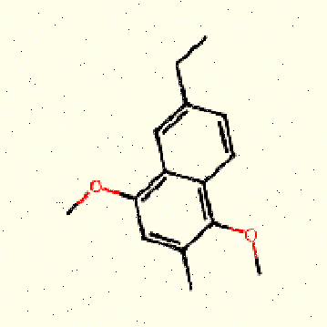 CCc1ccc2c(OC)c(C)cc(OC)c2c1